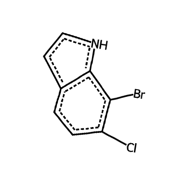 Clc1ccc2cc[nH]c2c1Br